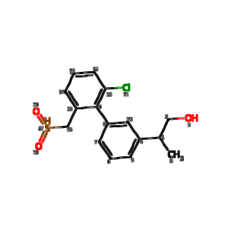 CC(CO)c1cccc(-c2c(Cl)c[c]cc2C[SH](=O)=O)c1